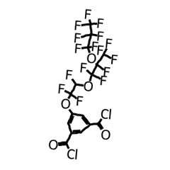 O=C(Cl)c1cc(OC(F)(F)C(F)OC(F)(F)C(F)(OC(F)(F)C(F)(F)C(F)(F)F)C(F)(F)F)cc(C(=O)Cl)c1